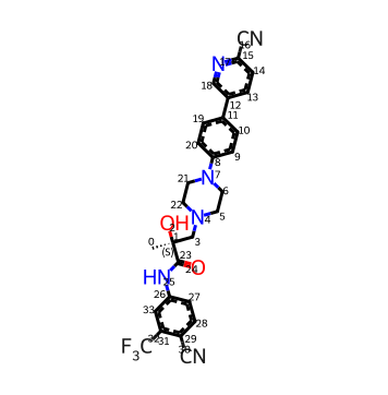 C[C@](O)(CN1CCN(c2ccc(-c3ccc(C#N)nc3)cc2)CC1)C(=O)Nc1ccc(C#N)c(C(F)(F)F)c1